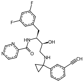 C#Cc1cccc(C2(NC[C@H](O)[C@H](Cc3cc(F)cc(F)c3)NC(=O)c3ccncn3)CC2)c1